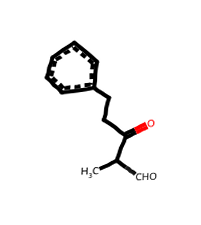 CC(C=O)C(=O)CCc1ccccc1